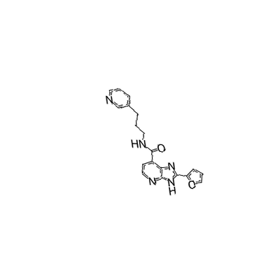 O=C(NCCCc1cccnc1)c1ccnc2[nH]c(-c3ccco3)nc12